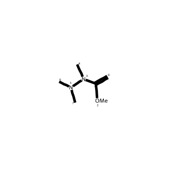 C=C(OC)N(C)N(C)C